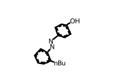 CCCCc1ccccc1N=Nc1ccc(O)cc1